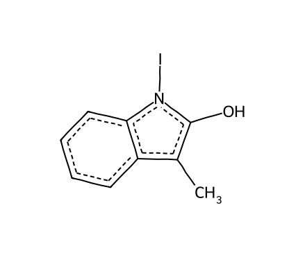 Cc1c(O)n(I)c2ccccc12